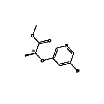 COC(=O)[C@H](C)Oc1cncc(Br)c1